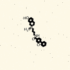 Cc1cc(C(=O)NCCCCN(C)[C@@H]2CCc3ccc(O)cc3C2)ccc1-c1ccccc1